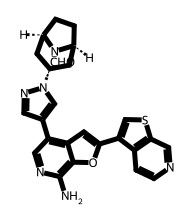 Nc1ncc(-c2cnn([C@@H]3C[C@H]4CC[C@@H](C3)N4C=O)c2)c2cc(-c3csc4cnccc34)oc12